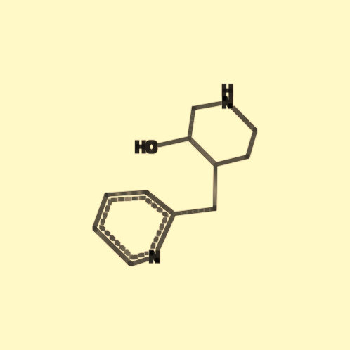 OC1CNCCC1Cc1ccccn1